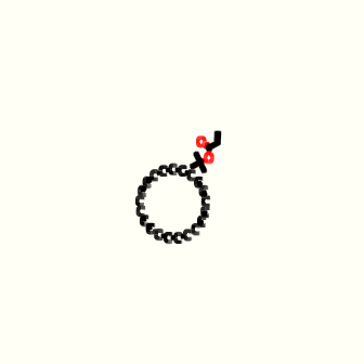 C1CCCCCCCCCCCCCCCCCCCC1.C=CC(=O)OC(C)(C)C